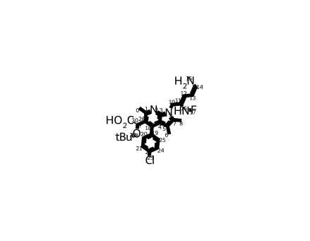 Cc1nc2c(c(C)c(C)n2C/C(=C/C=C\N)NF)c(-c2ccc(Cl)cc2)c1[C@H](OC(C)(C)C)C(=O)O